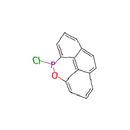 Clp1oc2cccc3ccc4cccc1c4c32